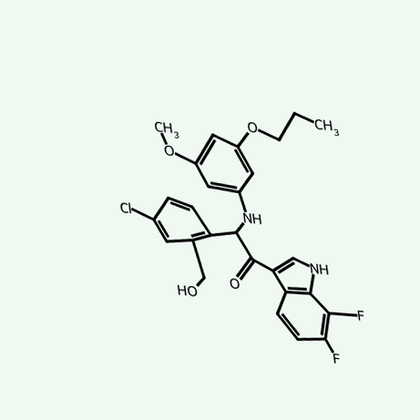 CCCOc1cc(NC(C(=O)c2c[nH]c3c(F)c(F)ccc23)c2ccc(Cl)cc2CO)cc(OC)c1